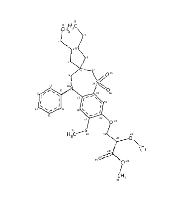 CCCCC1(CCCC)CN(c2ccccc2)c2cc(SC)c(OCC(OC)C(=O)OC)cc2S(=O)(=O)C1